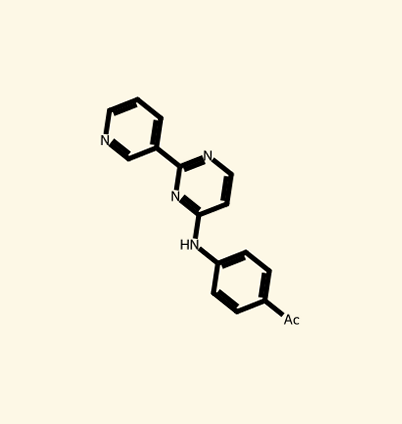 CC(=O)c1ccc(Nc2ccnc(-c3cccnc3)n2)cc1